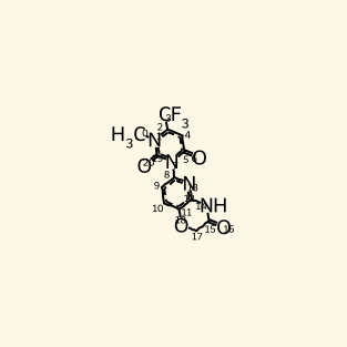 Cn1c(C(F)(F)F)cc(=O)n(-c2ccc3c(n2)NC(=O)CO3)c1=O